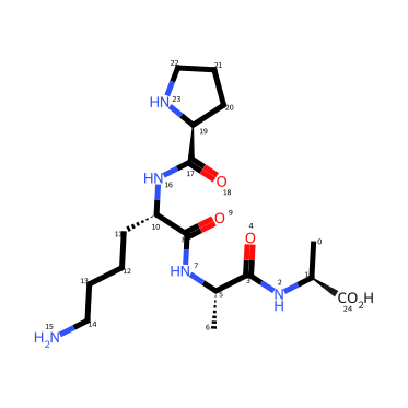 C[C@H](NC(=O)[C@H](C)NC(=O)[C@H](CCCCN)NC(=O)[C@@H]1CCCN1)C(=O)O